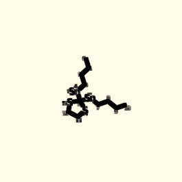 CCC[CH2][Sn][C]1([Sn][CH2]CCC)SCCS1